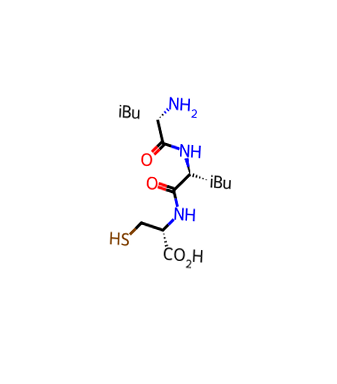 CC[C@H](C)[C@H](N)C(=O)N[C@H](C(=O)N[C@@H](CS)C(=O)O)[C@@H](C)CC